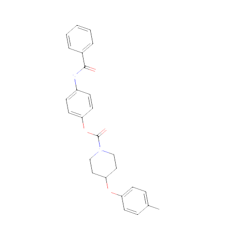 O=C(O)c1ccc(OC2CCN(C(=O)Oc3ccc(NC(=O)c4ccccc4)cc3)CC2)cc1